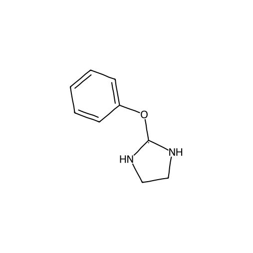 c1ccc(O[C]2NCCN2)cc1